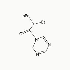 CCCC(CC)C(=O)N1C=NC=NC1